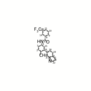 Cc1ccc(NC(=O)c2cccc(C(F)(F)F)c2)cc1-c1ccc2scnc2c1